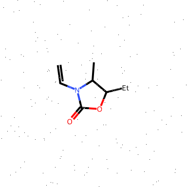 C=CN1C(=O)OC(CC)C1C